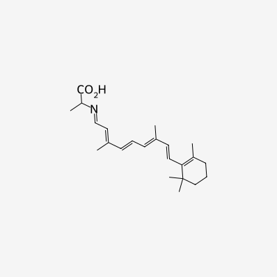 CC(C=CC1=C(C)CCCC1(C)C)=CC=CC(C)=CC=NC(C)C(=O)O